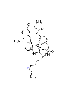 C=C/C=C\CCC[C@@H](NS(=O)(=O)Cc1ccc(CC(=O)OC)cc1)C(=O)N[C@@H](CO)C(=O)NCc1cc(Cl)ccc1CN